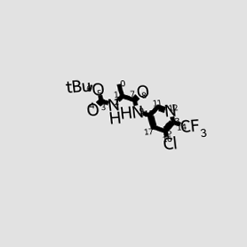 CC(NC(=O)OC(C)(C)C)C(=O)Nc1cnc(C(F)(F)F)c(Cl)c1